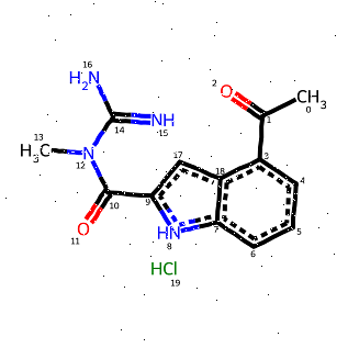 CC(=O)c1cccc2[nH]c(C(=O)N(C)C(=N)N)cc12.Cl